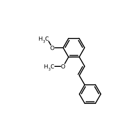 COc1cccc(C=Cc2ccccc2)c1OC